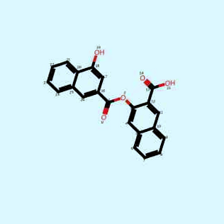 O=C(Oc1cc2ccccc2cc1C(=O)O)c1cc(O)c2ccccc2c1